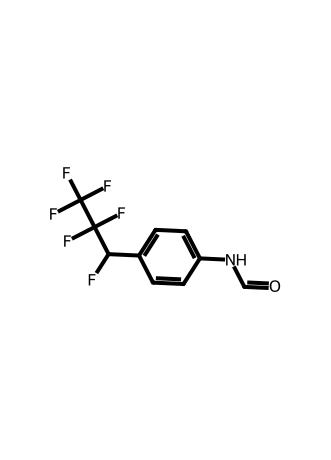 O=CNc1ccc(C(F)C(F)(F)C(F)(F)F)cc1